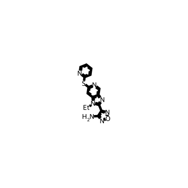 CCn1c(-c2nonc2N)nc2cnc(Sc3ccccn3)cc21